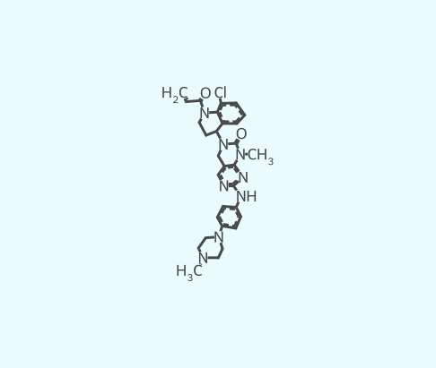 C=CC(=O)N1CCC(N2Cc3cnc(Nc4ccc(N5CCN(C)CC5)cc4)nc3N(C)C2=O)c2cccc(Cl)c21